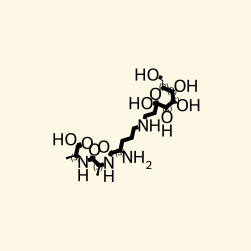 C[C@H](NC(=O)[C@H](C)NC(=O)[C@@H](N)CCCNCCC1(O)O[C@H](CO)[C@H](O)[C@H](O)[C@H]1O)C(=O)O